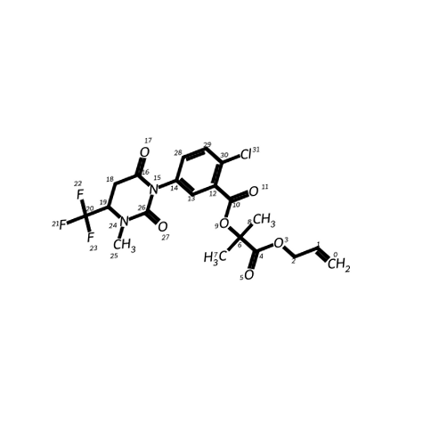 C=CCOC(=O)C(C)(C)OC(=O)c1cc(N2C(=O)CC(C(F)(F)F)N(C)C2=O)ccc1Cl